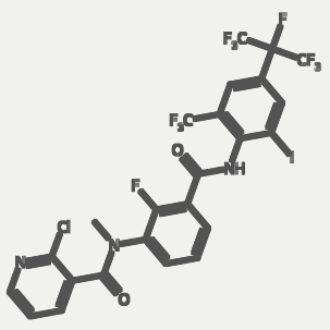 CN(C(=O)c1cccnc1Cl)c1cccc(C(=O)Nc2c(I)cc(C(F)(C(F)(F)F)C(F)(F)F)cc2C(F)(F)F)c1F